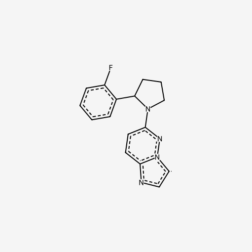 Fc1ccccc1C1CCCN1c1ccc2nc[c]n2n1